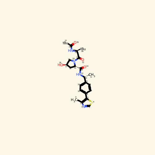 Cc1ncsc1-c1ccc([C@@H](C)NC(=O)[C@@H]2C[C@@H](O)CN2C(=O)[C@@H](NC(=O)C(C)(C)C)C(C)(C)C)cc1